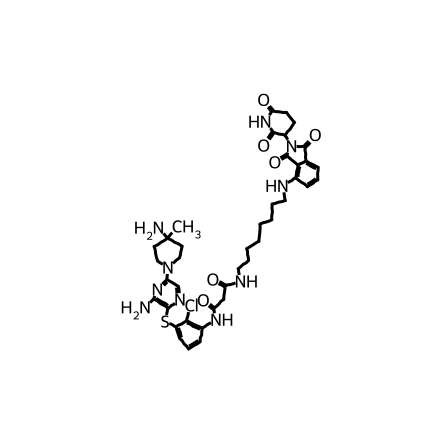 CC1(N)CCN(c2cnc(Sc3cccc(NC(=O)CC(=O)NCCCCCCCCNc4cccc5c4C(=O)N(C4CCC(=O)NC4=O)C5=O)c3Cl)c(N)n2)CC1